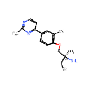 CC(C)C[C@](C)(N)COc1ccc(-c2ccnc(C(F)(F)F)n2)cc1C#N